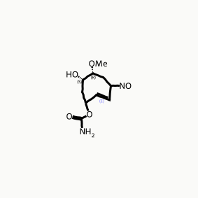 CO[C@@H]1CC(N=O)/C=C/C(OC(N)=O)C[C@@H]1O